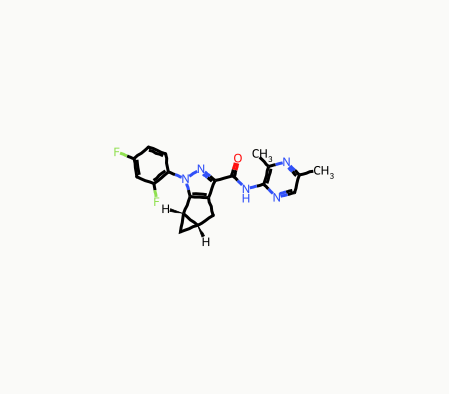 Cc1cnc(NC(=O)c2nn(-c3ccc(F)cc3F)c3c2C[C@@H]2C[C@H]32)c(C)n1